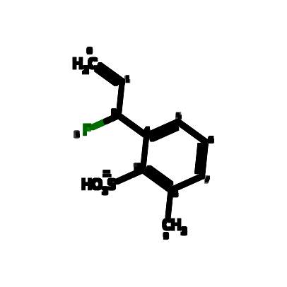 C=CC(F)c1cccc(C)c1S(=O)(=O)O